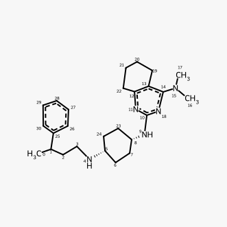 CC(CCN[C@H]1CC[C@@H](Nc2nc3c(c(N(C)C)n2)CCCC3)CC1)c1ccccc1